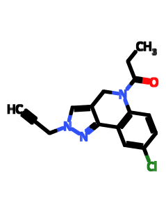 C#CCn1cc2c(n1)-c1cc(Cl)ccc1N(C(=O)CC)C2